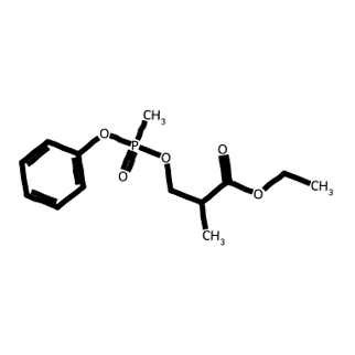 CCOC(=O)C(C)COP(C)(=O)Oc1ccccc1